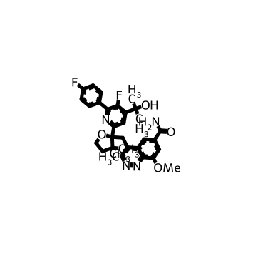 COc1cc(C(N)=O)cc2c(CC3(c4cc(C(C)(C)O)c(F)c(-c5ccc(F)cc5)n4)OCCC3(C)C)c(C)nnc12